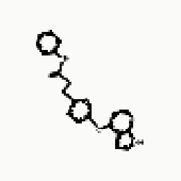 O=C(CCc1ccc(Oc2ccnc3[nH]ccc23)cc1)Nc1ccccc1